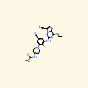 CCNc1nc(Nc2cc(C#N)cc(N3C[CH][C@@H](NC(=O)OC)CC3)c2Cl)nn2c(C#N)cnc12